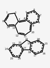 C1=CCC2=c3ccccc3=CC=CC2=C1.c1ccc2c(c1)Cc1ccccc1-2